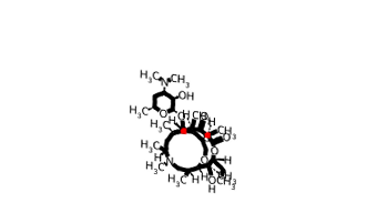 CC[C@H]1OC(=O)[C@H](C)C(=O)[C@H](C)[C@@H](O[C@@H]2O[C@H](C)C[C@H](N(C)C)[C@H]2O)[C@@]2(C)C[C@@H](C)N(C)C[C@H](C)[C@@H](OCC(=O)CO2)[C@]1(C)O